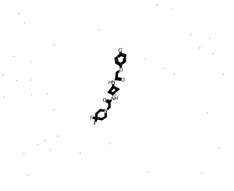 O=C(COc1ccc(Cl)cc1)NC1=C[C@@H](NC(=O)CN2CCC(F)(F)CC2)C1